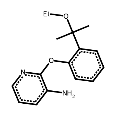 CCOC(C)(C)c1ccccc1Oc1ncccc1N